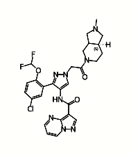 CN1CC2CN(C(=O)Cn3cc(NC(=O)c4cnn5cccnc45)c(-c4cc(Cl)ccc4OC(F)F)n3)CC[C@@H]2C1